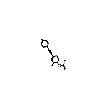 Cc1cc(C#Cc2ccc(F)cc2)ccc1OC(F)F